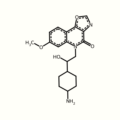 COc1ccc2c3ocnc3c(=O)n(CC(O)C3CCC(N)CC3)c2c1